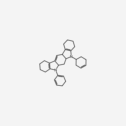 C1=CC(N2C3=C(CCCC3)C3=CC4C5=C(CCCC5)N(C5CC=CCC5)C4CC32)=CCC1